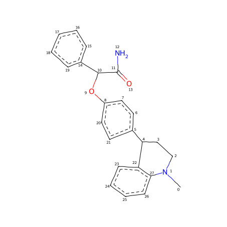 CN1CCC(c2ccc(OC(C(N)=O)c3ccccc3)cc2)c2ccccc21